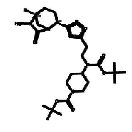 CC(C)(C)OC(=O)N1CCC(N(CCc2cc([C@@H]3CC[C@H]4CN3C(=O)N4O)no2)C(=O)OC(C)(C)C)CC1